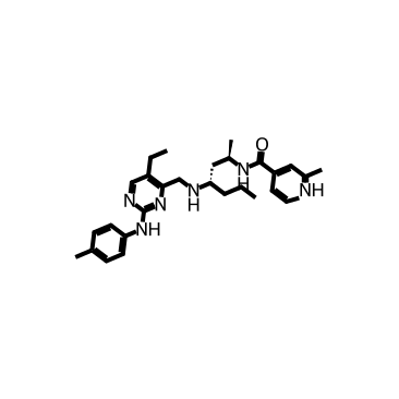 C/C=C\C(=C/C(C)=N)C(=O)N[C@H](C)C[C@H](CCC)NCc1nc(Nc2ccc(C)cc2)ncc1CC